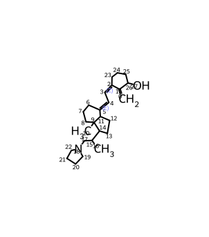 C=C1/C(=C\C=C2/CCCC3(C)C2CCC3C(C)CN2CCCC2)CCCC1O